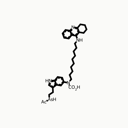 CC(=O)[AsH]CCc1c[nH]c2ccc(N(CCCCCCCCCCNc3c4c(nc5ccccc35)CCCC4)C(=O)O)cc12